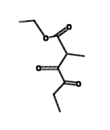 CCOC(=O)C(C)C(=O)C(=O)CC